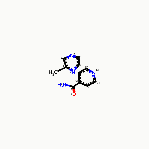 Cc1cnccn1.NC(=O)c1ccncc1